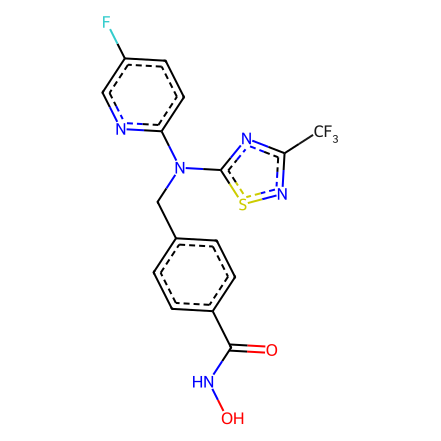 O=C(NO)c1ccc(CN(c2ccc(F)cn2)c2nc(C(F)(F)F)ns2)cc1